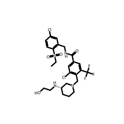 CCS(=O)(=O)c1ccc(Cl)cc1CNC(=O)c1cc(Cl)c(CN2CCC[C@H](NCCO)C2)c(C(F)(F)F)c1